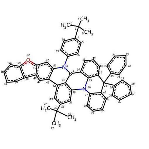 CC(C)(C)c1ccc(N2B3c4cccc5c4N(c4ccccc4C5(c4ccccc4)c4ccccc4)c4cc(C(C)(C)C)cc(c43)-c3cc4c(cc32)oc2ccccc24)cc1